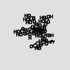 CCCC1O[C@@H]2C[C@H]3[C@@H]4CCC5=CC(=O)C=C[C@]5(C)[C@H]4[C@@H](O)C[C@]3(C)[C@]2(CCO[C@@H]2OC(CO)[C@@H](O[C@@H]3OC(CO[C@H]4OC[C@@H](O)C(O)C4O)[C@@H](O[C@@H]4OC(CO[C@H]5OC[C@@H](O)C(O)C5O)[C@@H](O[C@@H]5OC(CO[C@H]6OC[C@@H](O)C(O)C6O)[C@@H](O)C(O)C5O)C(O)C4O)C[C@@H]3O)C(O)C2O)O1